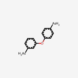 [AsH2]c1ccc(Oc2cccc([AsH2])c2)cc1